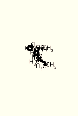 CONC(=O)c1cc(S(=O)(=O)N(C)CCCN(C)C)c(F)c(F)c1Nc1ccc(I)cc1Cl